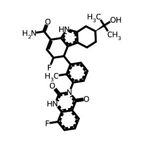 Cc1c(C2c3c([nH]c4c3CC[C@H](C(C)(C)O)C4)C(C(N)=O)=CC2F)cccc1-n1c(=O)[nH]c2c(F)cccc2c1=O